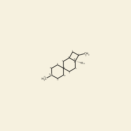 CC1CC2CC3(CC[C@H]12)CCN(C)CC3